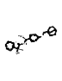 CC(C)(C)[C@H](NC(=O)[C@](C)(O)c1ccccc1)c1ccc(OCC23CCC(CC2)CC3)cc1